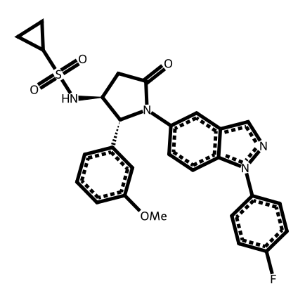 COc1cccc([C@@H]2[C@@H](NS(=O)(=O)C3CC3)CC(=O)N2c2ccc3c(cnn3-c3ccc(F)cc3)c2)c1